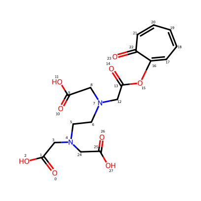 O=C(O)CN(CCN(CC(=O)O)CC(=O)Oc1cccccc1=O)CC(=O)O